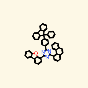 c1ccc(C2(c3ccc(-c4nc(-c5cccc6c5oc5ccccc56)nc(-c5cccc6ccc7ccccc7c56)n4)cc3)c3ccccc3-c3ccccc32)cc1